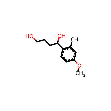 COc1ccc(C(O)CCCO)c(C)c1